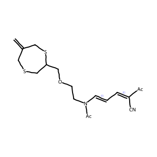 C=C1CSCC(COCCN(/C=C/C=C(\C#N)C(C)=O)C(C)=O)SC1